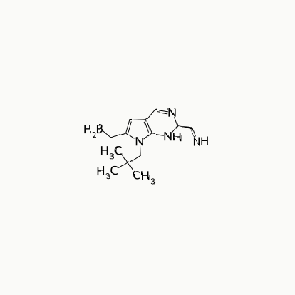 BCc1cc2c(n1CC(C)(C)C)N[C@H](C=N)N=C2